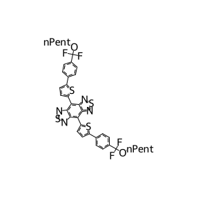 CCCCCOC(F)(F)c1ccc(-c2ccc(-c3c4c(c(-c5ccc(-c6ccc(C(F)(F)OCCCCC)cc6)s5)c5nsnc35)N=S=N4)s2)cc1